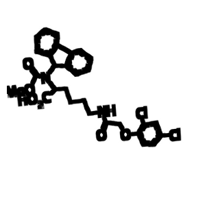 COC(=O)N(C(CCCCNC(=O)COc1ccc(Cl)cc1Cl)C(=O)O)C1c2ccccc2-c2ccccc21